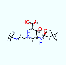 CC(C)(C)CC(=O)N[C@@H](CNCCNC(C)(C)C)C(=O)CC(=O)O